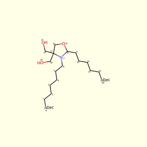 CCCCCCCCCCCCCCCCN1C(CCCCCCCCCCCCCCC)OCC1(CO)CO